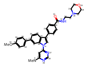 CNc1cc(-n2cc(-c3ccc(C(=O)NCCN4CCOCC4)cc3)c3ccc(-c4ccc(OC)cc4)cc32)ncn1